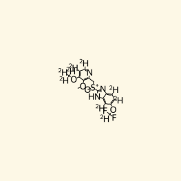 [2H]c1nc(C[S+]([O-])c2nc3c([2H])c([2H])c(OC([2H])(F)F)c([2H])c3[nH]2)c(OC)c(OC([2H])([2H])[2H])c1[2H]